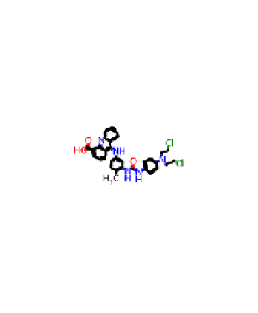 Cc1ccc(Nc2c3ccccc3nc3c(C(=O)O)cccc23)cc1NC(=O)Nc1ccc(N(CCCl)CCCl)cc1